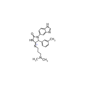 Cc1cccc(C2/C(=N\CCCN(C)C)NC(=O)N2c2ccc3[nH]cnc3c2)c1